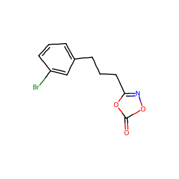 O=c1onc(CCCc2cccc(Br)c2)o1